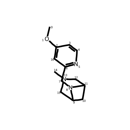 COc1ccnc(CN2C3CC2CN(C)C3)c1